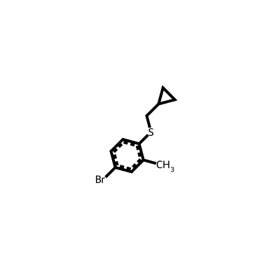 Cc1cc(Br)ccc1SCC1CC1